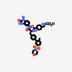 Cc1ccc(S(=O)(=O)N2CCOCC2)cc1-c1ccc(C[C@H](NC(=O)C2CCC(CNC(=O)O)CC2)C(=O)Nc2ccc3[nH]c(=O)[nH]c3c2)cc1